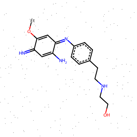 CCOC1=CC(=Nc2ccc(CCNCCO)cc2)C(N)=CC1=N